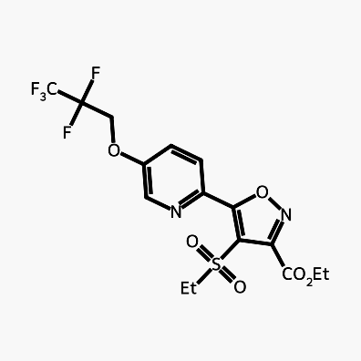 CCOC(=O)c1noc(-c2ccc(OCC(F)(F)C(F)(F)F)cn2)c1S(=O)(=O)CC